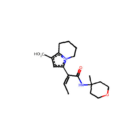 C/C=C(\C(=O)NC1(C)CCOCC1)c1cc(C(=O)O)c2n1CCCC2